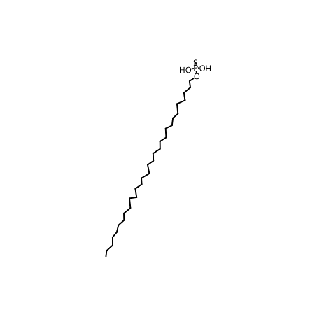 CCCCCCCCCCCCCCCCCCCCCCCCCCCCCCOP(O)(O)=S